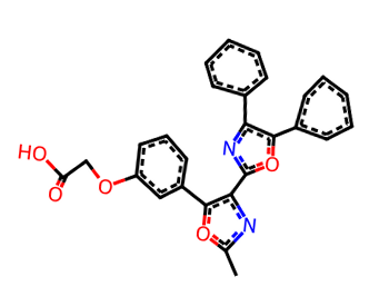 Cc1nc(-c2nc(-c3ccccc3)c(-c3ccccc3)o2)c(-c2cccc(OCC(=O)O)c2)o1